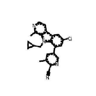 Cc1cc(-c2cc(Cl)cc3c4ccnc(C)c4n(CC4CC4)c23)cnc1C#N